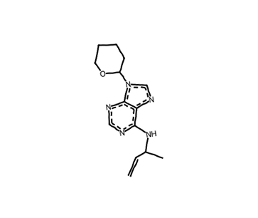 C=CC(C)Nc1ncnc2c1ncn2C1CCCCO1